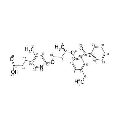 CCc1ccc(O[C@H](C)CCOc2cc(C)c(CCC(=O)O)cn2)c(C(=O)c2ccccc2)c1